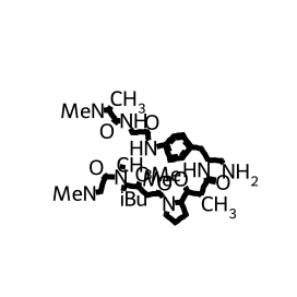 CCC(C)C(C(CC(=O)N1CCCC1C(OC)C(C)C(=O)NC(CN)Cc1ccc(NC(=O)CNC(=O)C(C)NC)cc1)OC)N(C)C(=O)CNC